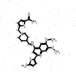 COc1cc2nc(-c3ccc(C)o3)cc(NCC3CCN(Cc4ccc(C(N)=O)s4)CC3)c2cc1OC